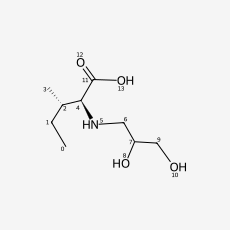 CC[C@H](C)[C@H](NCC(O)CO)C(=O)O